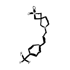 O=S1(=O)CC2(CCN(C/C=C/c3ccc(C(F)(F)F)cc3)C2)C1